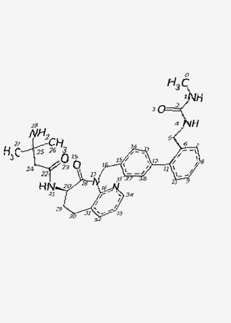 CNC(=O)NCc1ccccc1-c1ccc(CN2C(=O)[C@H](NC(=O)CC(C)(C)N)CCc3cccnc32)cc1